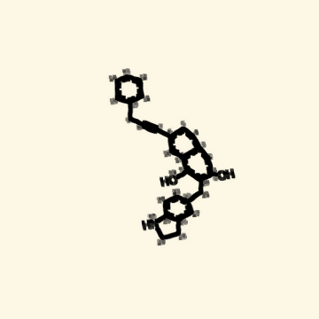 Oc1cc2ccc(C#CCc3ccccc3)cc2c(O)c1Cc1ccc2c(c1)CCN2